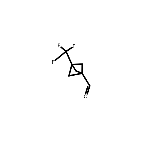 O=CC12CC(C(F)(F)F)(C1)C2